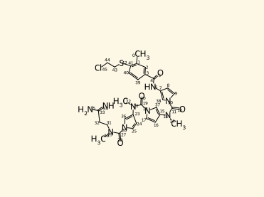 Cc1cc(C(=O)Nc2ccn(C(=O)N(C)c3ccn(C(=O)N(C)c4ccn(C(=O)N(C)CCC(=N)N)c4)c3)c2)ccc1SCCCl